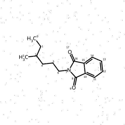 CC[C](C)CCCN1C(=O)c2ccccc2C1=O